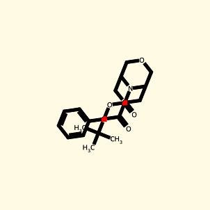 CC(C)(C)OC(=O)N1CC2COCC(C1)N2C(=O)OCc1ccccc1